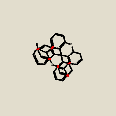 CC1C=CC=CC1c1cccc2c1C1(C3=C(C=CCC3)Sc3ccccc31)C1=C(c3ccccc3)C=CCC1S2